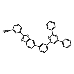 N#Cc1cccc(-c2nc3ccc(-c4cccc(-c5cc(-c6ccccc6)nc(-c6ccccc6)n5)c4)cc3s2)c1